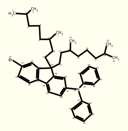 CC(C)CCCC(C)CCC1(CCC(C)CCCC(C)C)c2cc(Br)ccc2-c2ccc(N(c3ccccc3)c3ccccc3)cc21